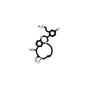 CCCc1cc(Cl)ccc1C1COc2ccc3cc2N(CCCC/C=C/CN(C)C(=O)CC3O)C1